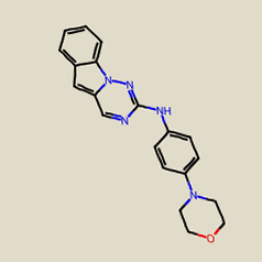 c1ccc2c(c1)cc1cnc(Nc3ccc(N4CCOCC4)cc3)nn12